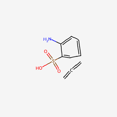 C=C=C.Nc1ccccc1S(=O)(=O)O